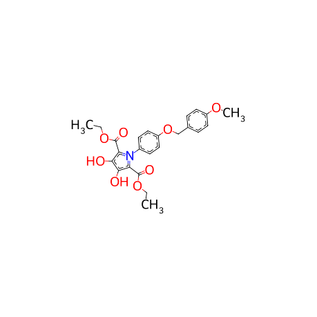 CCOC(=O)c1c(O)c(O)c(C(=O)OCC)n1-c1ccc(OCc2ccc(OC)cc2)cc1